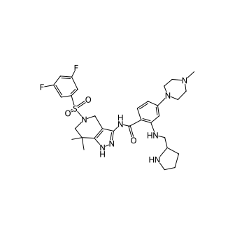 CN1CCN(c2ccc(C(=O)Nc3n[nH]c4c3CN(S(=O)(=O)c3cc(F)cc(F)c3)CC4(C)C)c(NCC3CCCN3)c2)CC1